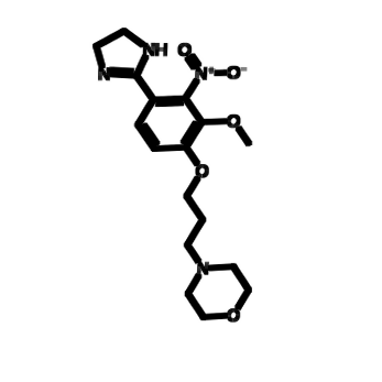 COc1c(OCCCN2CCOCC2)ccc(C2=NCCN2)c1[N+](=O)[O-]